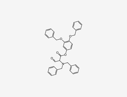 O=CC(C(=O)Oc1ccc(OCc2ccccc2)c(OCc2ccccc2)c1)N(Cc1ccccc1)Cc1ccccc1